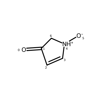 O=C1C=C[NH+]([O-])C1